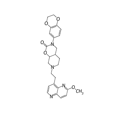 COc1ccc2nccc(CCN3CCC4CN(c5ccc6c(c5)OCCO6)C(=O)OC4C3)c2n1